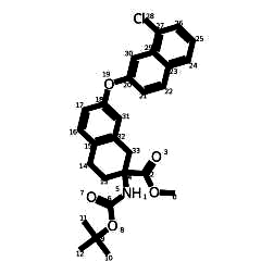 COC(=O)C1(NC(=O)OC(C)(C)C)CCc2ccc(Oc3ccc4cccc(Cl)c4c3)cc2C1